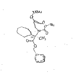 CC(C)(C)OC(=O)CN(C(=O)OC(C)(C)C)[C@@](C)(C(=O)OCc1ccccc1)C1CCCCC1